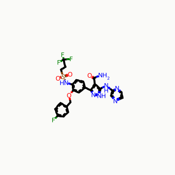 NC(=O)c1c(-c2ccc(NS(=O)(=O)CCC(F)(F)F)c(OCc3ccc(F)cc3)c2)n[nH]c1Nc1cnccn1